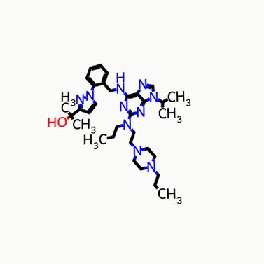 CCCN1CCN(CCN(CCC)c2nc(NCc3ccccc3-n3ccc(C(C)(C)O)n3)c3ncn(C(C)C)c3n2)CC1